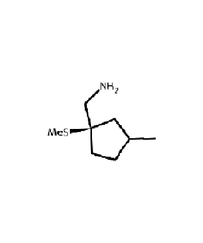 CS[C@]1(CN)CCC(C)C1